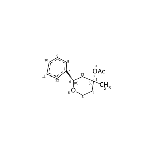 CC(=O)O[C@]1(C)CCO[C@@H](c2ccccc2)C1